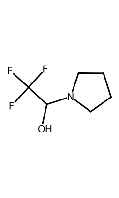 OC(N1CCCC1)C(F)(F)F